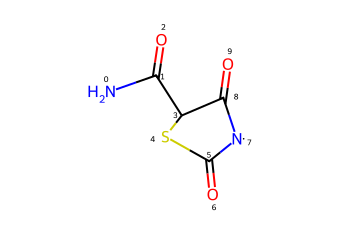 NC(=O)C1SC(=O)[N]C1=O